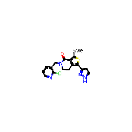 CSc1sc(-c2cc[nH]n2)c2c1C(=O)N(Cc1cccnc1Cl)CC2